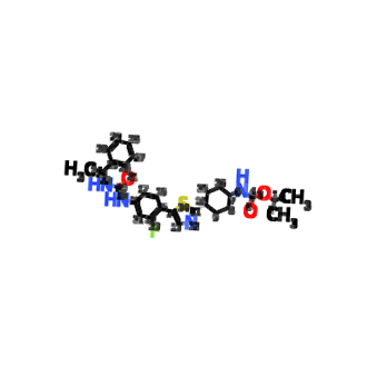 CC(C)OC(=O)N[C@H]1CC[C@H](c2ncc(-c3ccc(NC(=O)N[C@H](C)c4ccccc4)cc3F)s2)CC1